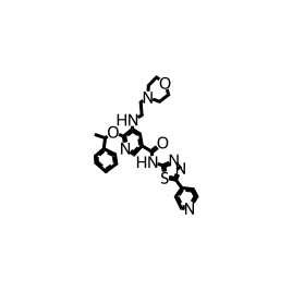 CC(Oc1ncc(C(=O)Nc2nnc(-c3ccncc3)s2)cc1NCCN1CCOCC1)c1ccccc1